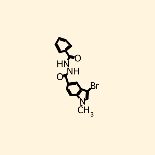 Cn1cc(Br)c2cc(C(=O)NNC(=O)c3ccccc3)ccc21